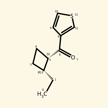 CC[C@@H]1CC[C@@H]1C(=O)c1ccsc1